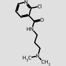 CN(C)CCCNC(=O)c1cccnc1Cl